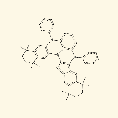 CC1(C)CCC(C)(C)c2cc3c(cc21)B1c2sc4cc5c(cc4c2N(c2ccccc2)c2cccc(c21)N3c1ccccc1)C(C)(C)CCC5(C)C